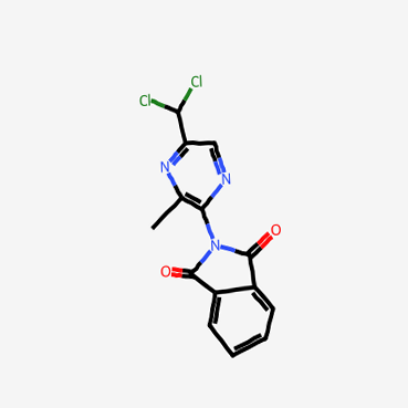 Cc1nc(C(Cl)Cl)cnc1N1C(=O)c2ccccc2C1=O